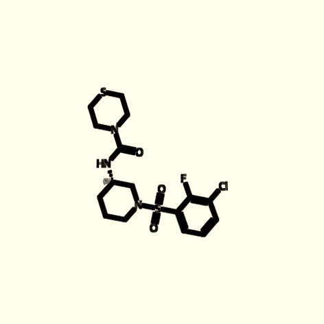 O=C(N[C@H]1CCCN(S(=O)(=O)c2cccc(Cl)c2F)C1)N1CCSCC1